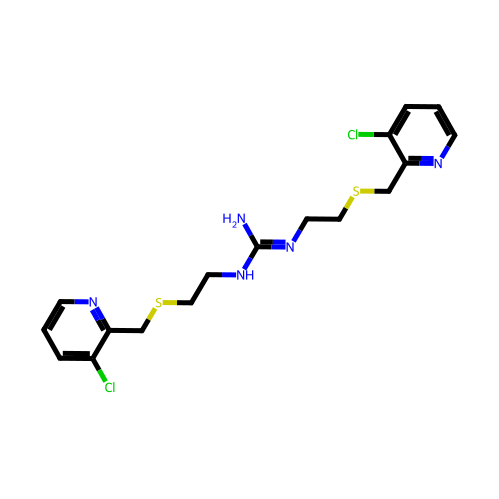 N/C(=N\CCSCc1ncccc1Cl)NCCSCc1ncccc1Cl